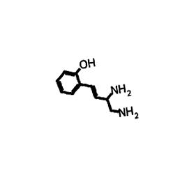 NCC(N)C=Cc1ccccc1O